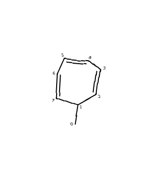 CC1C=CC=CC=C1